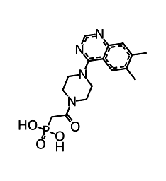 Cc1cc2ncnc(N3CCN(C(=O)CP(=O)(O)O)CC3)c2cc1C